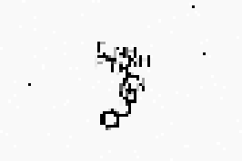 N=C(OC(=N)C(F)F)c1cnc2cc(Cc3ccccc3)nn2c1